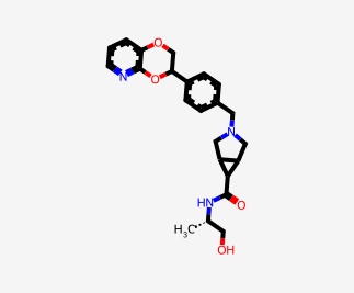 C[C@@H](CO)NC(=O)C1C2CN(Cc3ccc(C4COc5cccnc5O4)cc3)CC21